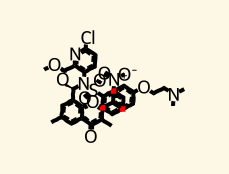 COC(=O)c1nc(Cl)ccc1N([C@H](C)c1cc(C)cc2c(=O)c(C)c(-c3ccc(OCCN(C)C)cc3)oc12)S(=O)(=O)c1ccccc1[N+](=O)[O-]